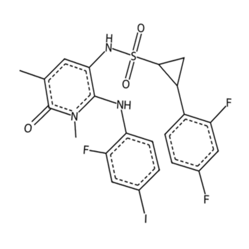 Cc1cc(NS(=O)(=O)C2CC2c2ccc(F)cc2F)c(Nc2ccc(I)cc2F)n(C)c1=O